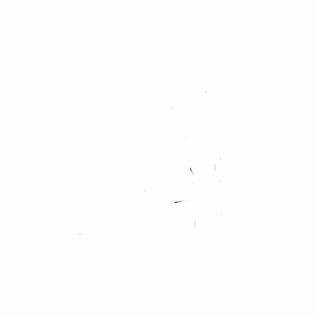 O=C(O)/C=C/C/C=C\C[C@H]1[C@@H](CCOCc2ccccc2)[C@H]2CC[C@@H]1O2